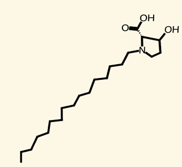 CCCCCCCCCCCCCCCCN1CCC(O)[C@H]1C(=O)O